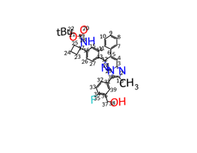 Cc1nc2cc(-c3ccccc3)c(-c3ccc(C4(NC(=O)OC(C)(C)C)CCC4)cc3)nn2c1-c1ccc(F)c(CO)c1